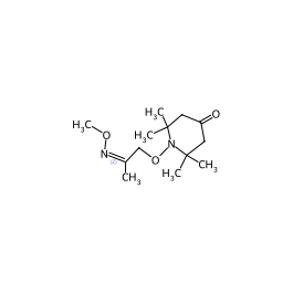 CO/N=C(/C)CON1C(C)(C)CC(=O)CC1(C)C